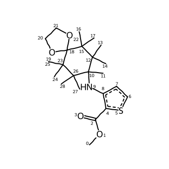 COC(=O)c1sccc1NC1(C)C(C)(C)C(C)(C)C2(OCCO2)C(C)(C)C1(C)C